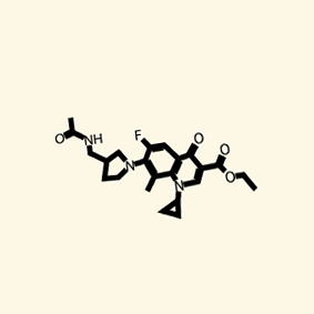 CCOC(=O)c1cn(C2CC2)c2c(C)c(N3CCC(CNC(C)=O)C3)c(F)cc2c1=O